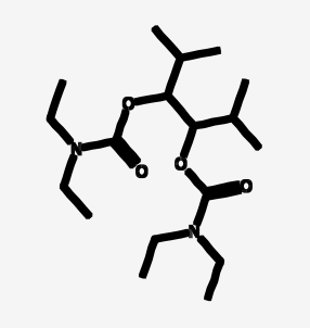 CCN(CC)C(=O)OC(C(C)C)C(OC(=O)N(CC)CC)C(C)C